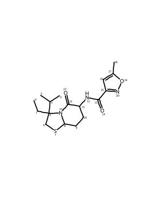 CCC1(C(C)C)CSC2CCC(NC(=O)c3cc(C)on3)C(=O)N21